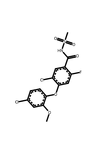 COc1cc(Cl)ccc1Oc1cc(F)c(C(=O)NS(C)(=O)=O)cc1Cl